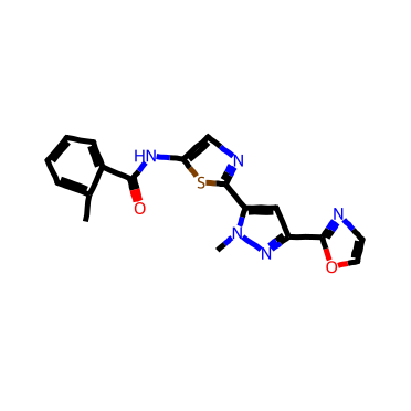 Cc1ccccc1C(=O)Nc1cnc(-c2cc(-c3ncco3)nn2C)s1